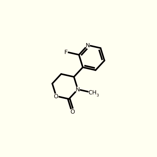 CN1C(=O)OCCC1c1cccnc1F